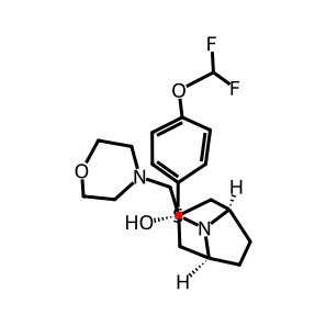 O[C@]1(CN2CCOCC2)C[C@H]2CC[C@@H](C1)N2Sc1ccc(OC(F)F)cc1